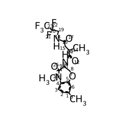 Cc1ccc2c(c1)OC[C@H](NC(=O)[C@H](C)CC(=O)NCC(F)(F)C(F)(F)F)C(=O)N2C